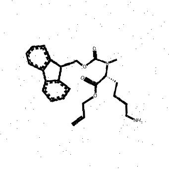 C=CCOC(=O)[C@@H](CCCCN)N(C)C(=O)OCC1c2ccccc2-c2ccccc21